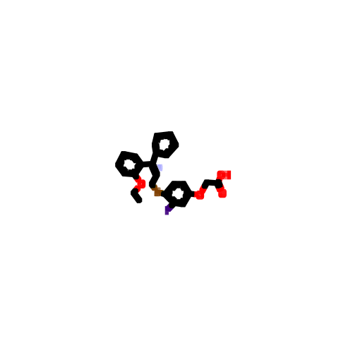 CCOc1ccccc1/C(=C\CSc1ccc(OCC(=O)O)cc1I)c1ccccc1